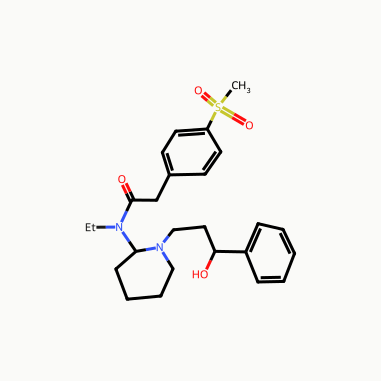 CCN(C(=O)Cc1ccc(S(C)(=O)=O)cc1)C1CCCCN1CCC(O)c1ccccc1